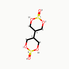 O=S1OCC(C2COS(=O)OC2)CO1